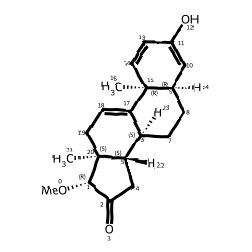 CO[C@H]1C(=O)C[C@H]2[C@@H]3CC[C@@H]4C=C(O)C=C[C@]4(C)C3=CC[C@]12C